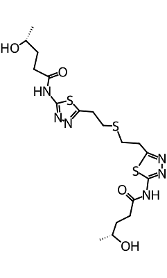 C[C@@H](O)CCC(=O)Nc1nnc(CCSCCc2nnc(NC(=O)CC[C@@H](C)O)s2)s1